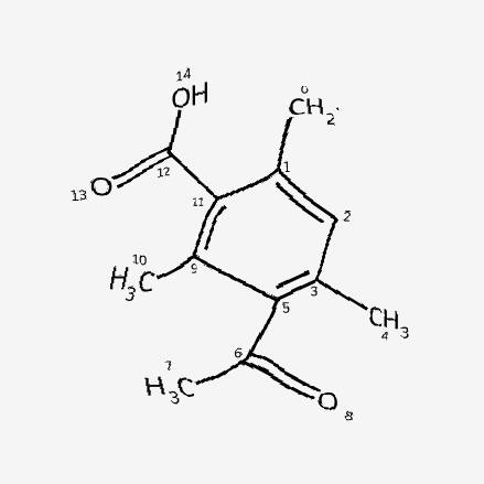 [CH2]c1cc(C)c(C(C)=O)c(C)c1C(=O)O